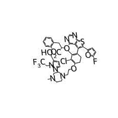 CC1=C(c2c(-c3ccc(F)o3)sc3ncnc(OC(Cc4ccccc4OCc4ccnn4CC(F)(F)F)C(=O)O)c23)CCC(OCCN2CCN(C)CC2)=C1Cl